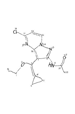 CCOC(=C1CC1)c1c(NC(C)=O)nn2ccc(Cl)nc12